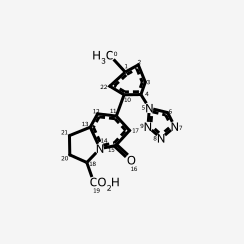 Cc1ccc(-n2cnnn2)c(-c2cc3n(c(=O)c2)C(C(=O)O)CC3)c1